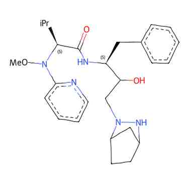 CON(c1ccccn1)[C@H](C(=O)N[C@@H](Cc1ccccc1)C(O)CN1NC2CCC1C2)C(C)C